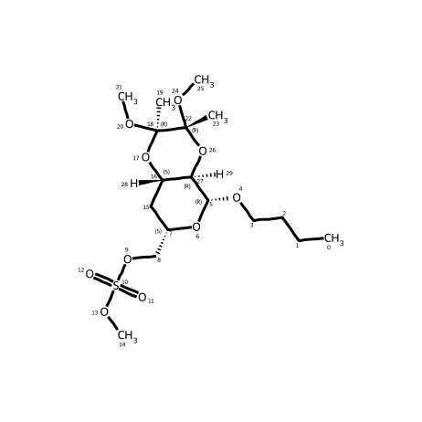 CCCCO[C@@H]1O[C@H](COS(=O)(=O)OC)C[C@@H]2O[C@@](C)(OC)[C@](C)(OC)O[C@@H]12